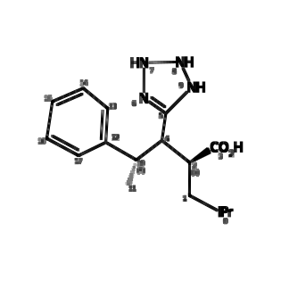 CC(C)C[C@H](C(=O)O)C(C1=NNNN1)[C@H](C)c1ccccc1